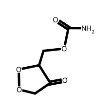 NC(=O)OCC1OOCC1=O